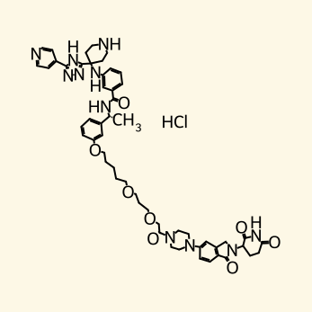 C[C@@H](NC(=O)c1cccc(NC2(c3nnc(-c4ccncc4)[nH]3)CCNCC2)c1)c1cccc(OCCCCCOCCCOCC(=O)N2CCN(c3ccc4c(c3)CN(C3CCC(=O)NC3=O)C4=O)CC2)c1.Cl